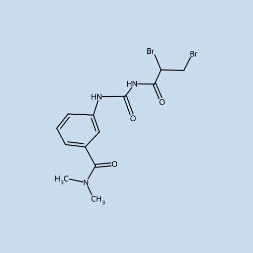 CN(C)C(=O)c1cccc(NC(=O)NC(=O)C(Br)CBr)c1